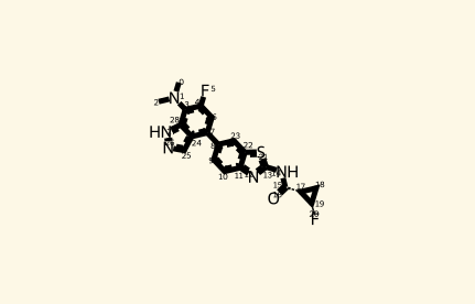 CN(C)c1c(F)cc(-c2ccc3nc(NC(=O)[C@@H]4C[C@@H]4F)sc3c2)c2cn[nH]c12